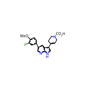 COc1ccc(-c2cnc3[nH]cc(C4=CCN(C(=O)O)CC4)c3c2)cc1F